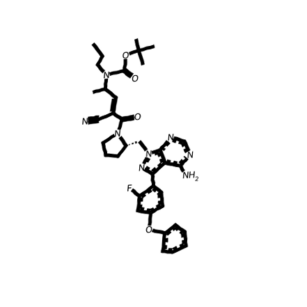 CCCN(C(=O)OC(C)(C)C)C(C)C=C(C#N)C(=O)N1CCC[C@H]1Cn1nc(-c2ccc(Oc3ccccc3)cc2F)c2c(N)ncnc21